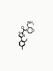 Cc1ccc(-c2csc(C(=O)N3CCOC[C@@H]3CN)n2)c(F)c1